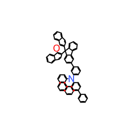 c1ccc(-c2ccc(N(c3cccc(-c4ccc5c(c4)-c4ccccc4C54c5ccc6ccccc6c5Oc5c4ccc4ccccc54)c3)c3ccccc3-c3ccccc3)c(-c3ccccc3)c2)cc1